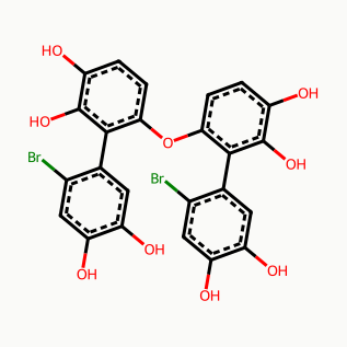 Oc1cc(Br)c(-c2c(Oc3ccc(O)c(O)c3-c3cc(O)c(O)cc3Br)ccc(O)c2O)cc1O